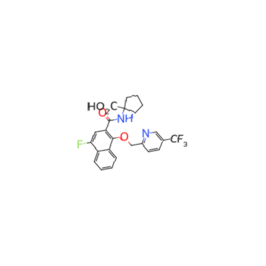 O=C(NC1(C(=O)O)CCCC1)c1cc(F)c2ccccc2c1OCc1ccc(C(F)(F)F)cn1